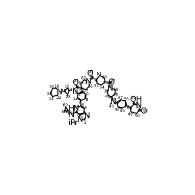 CC(C)n1cnc2cc(-c3ccc4c(c3)N([C@H]3C[C@@H](N5CCCCC5)C3)C(=O)C43CCN(C(=O)[C@H]4CC[C@H](C(=O)N5CCC(N(C)c6ccc(C7CCC(=O)NC7=O)cc6)CC5)CC4)CC3)nc(NC3CC3)c21